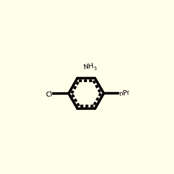 CCCc1ccc(Cl)cc1.N